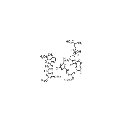 CCCCCOC(=O)COc1cc(N2C(=O)C3=C(CCCC3)C2=O)c(F)cc1Cl.CCNc1nc(Cl)nc(NC(C)C)n1.COc1cc(OC)nc(NC(=O)NS(=O)(=O)c2ncccc2C(=O)N(C)C)n1.CP(=O)(O)CCC(N)C(=O)O